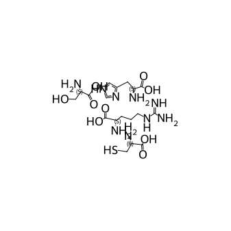 N=C(N)NCCC[C@H](N)C(=O)O.N[C@@H](CO)C(=O)O.N[C@@H](CS)C(=O)O.N[C@@H](Cc1c[nH]cn1)C(=O)O